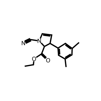 CCOC(=O)C1C(c2cc(C)cc(C)c2)C=CN1C#N